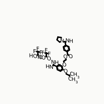 CC(C)COc1ccc(C(=N)N)cc1OCCOC(=O)c1ccc(C(=N)N2CCCC2)cc1.O=C(O)C(F)(F)F.O=C(O)C(F)(F)F